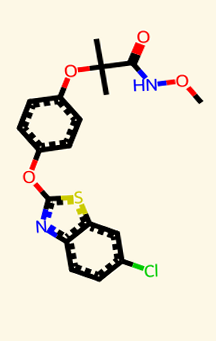 CONC(=O)C(C)(C)Oc1ccc(Oc2nc3ccc(Cl)cc3s2)cc1